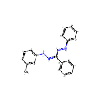 Cc1cccc(NN=C(N=Nc2ccccc2)c2ccccc2)c1